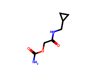 NC(=O)OCC(=O)NCC1CC1